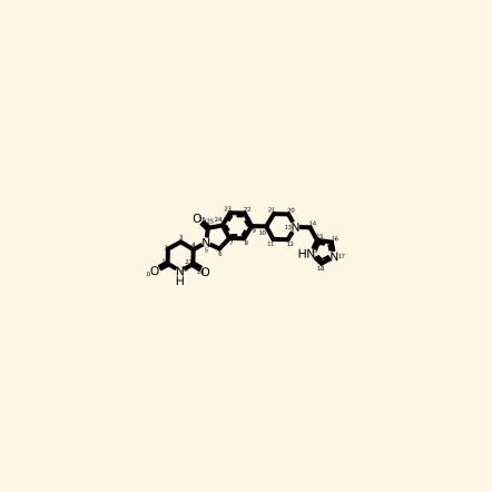 O=C1CCC(N2Cc3cc(C4CCN(Cc5cnc[nH]5)CC4)ccc3C2=O)C(=O)N1